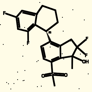 CC1(O)c2c(S(C)(=O)=O)ccc([C@H]3CCCc4cc(F)cc(F)c43)c2CC1(F)F